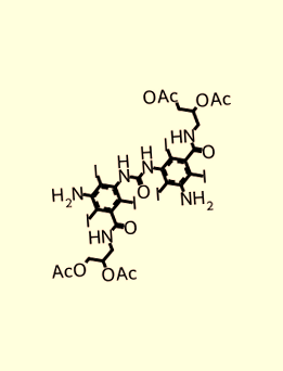 CC(=O)OCC(CNC(=O)c1c(I)c(N)c(I)c(NC(=O)Nc2c(I)c(N)c(I)c(C(=O)NCC(COC(C)=O)OC(C)=O)c2I)c1I)OC(C)=O